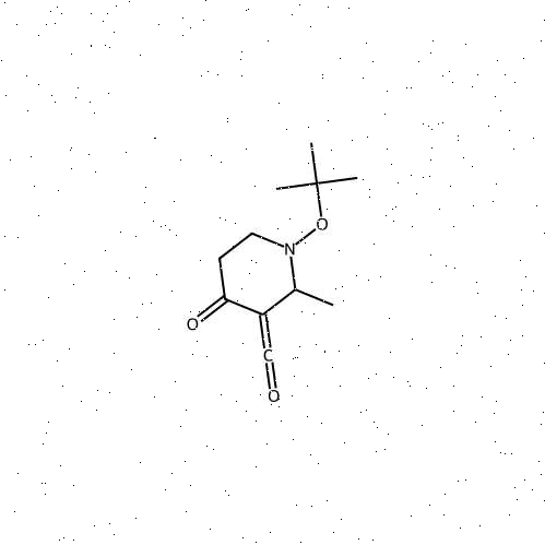 CC1C(=C=O)C(=O)CCN1OC(C)(C)C